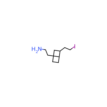 NCCC12CCC1C(CCI)C2